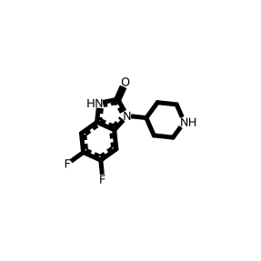 O=c1[nH]c2cc(F)c(F)cc2n1C1CCNCC1